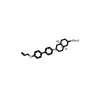 C=CCOc1ccc(-c2ccc([C@@H]3CC[C@@H]4CC(CCCCC)CC[C@@H]4C3)cc2)cc1